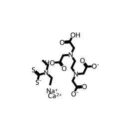 CCN(CC)C(=S)[S-].O=C([O-])CN(CCN(CC(=O)O)CC(=O)O)CC(=O)[O-].[Ca+2].[Na+]